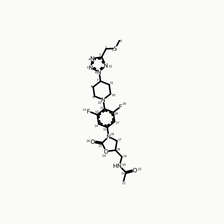 CSCc1nnn(C2CCN(c3c(F)cc(N4CC(CNC(C)=O)OC4=O)cc3F)CC2)n1